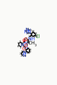 C[C@H](NC(=O)[C@@H]1CCCCN1C(=O)Oc1ccccc1-n1cccn1)C(=O)NCc1cc(Cl)ccc1-n1cnnn1